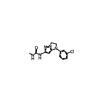 CNC(=O)Nc1cc2n(n1)CCN2c1cccc(Cl)c1